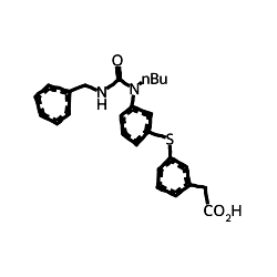 CCCCN(C(=O)NCc1ccccc1)c1cccc(Sc2cccc(CC(=O)O)c2)c1